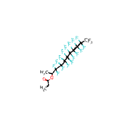 C=CC(=O)OC(C)C(F)(F)C(F)(F)C(F)(F)C(F)(F)C(F)(F)C(F)(F)C(F)(F)C(F)(F)C(F)(F)F